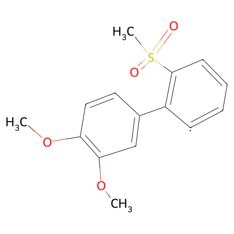 COc1ccc(-c2[c]cccc2S(C)(=O)=O)cc1OC